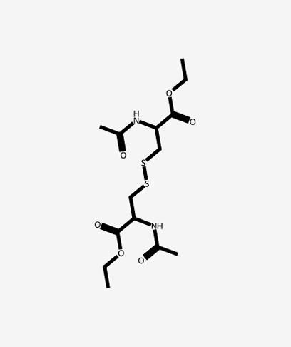 CCOC(=O)C(CSSCC(NC(C)=O)C(=O)OCC)NC(C)=O